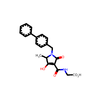 CC1C(O)=C(C(=O)NCC(=O)O)C(=O)N1Cc1ccc(-c2ccccc2)cc1